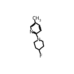 Cc1ccc(N2CCC(F)CC2)nc1